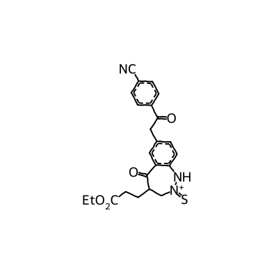 CCOC(=O)CCC1C[N+](=S)Nc2ccc(CC(=O)c3ccc(C#N)cc3)cc2C1=O